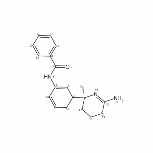 C[C@@]1(C2C=C(NC(=O)c3ccccc3)C=CC2)CCSC(N)=N1